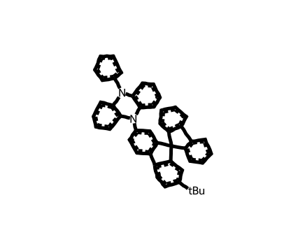 CC(C)(C)c1ccc2c(c1)C1(c3ccccc3-c3ccccc31)c1cc(N3c4ccccc4N(c4ccccc4)c4ccccc43)ccc1-2